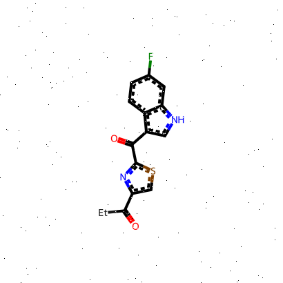 CCC(=O)c1csc(C(=O)c2c[nH]c3cc(F)ccc23)n1